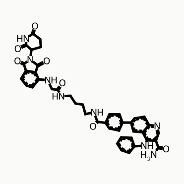 NC(=O)c1cnc2ccc(-c3ccc(C(=O)NCCCCNC(=O)CNc4cccc5c4C(=O)N(C4CCC(=O)NC4=O)C5=O)cc3)cc2c1Nc1ccccc1